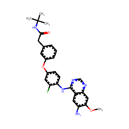 COc1cc2ncnc(Nc3ccc(Oc4cccc(CC(=O)NC(C)(C)C)c4)cc3F)c2cc1N